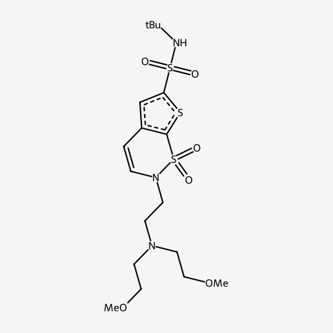 COCCN(CCOC)CCN1C=Cc2cc(S(=O)(=O)NC(C)(C)C)sc2S1(=O)=O